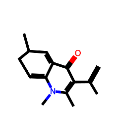 C=C(C)c1c(C)n(C)c2c(c1=O)=CC(C)CC=2